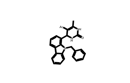 CC(=O)C1=C(C)NC(=O)NC1c1cccc2c3ccccc3n(Cc3ccccc3)c12